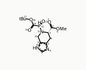 COC(=O)[C@@H]1Cc2nc[nH]c2CN1[PH](=O)C(=O)OC(C)(C)C